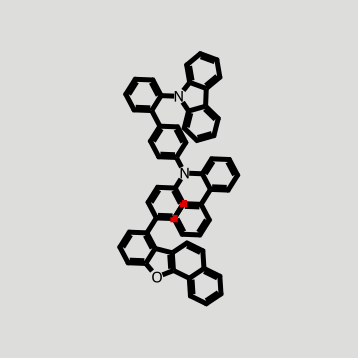 c1ccc(-c2ccccc2N(c2ccc(-c3ccccc3-n3c4ccccc4c4ccccc43)cc2)c2ccc(-c3cccc4oc5c6ccccc6ccc5c34)cc2)cc1